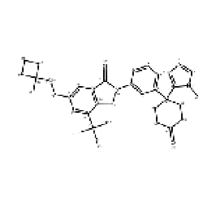 Cn1cnnc1C1(c2cccc(N3Cc4c(cc(CNC5(C)CCC5)cc4C(F)(F)F)C3=O)c2)CCC(=O)CC1